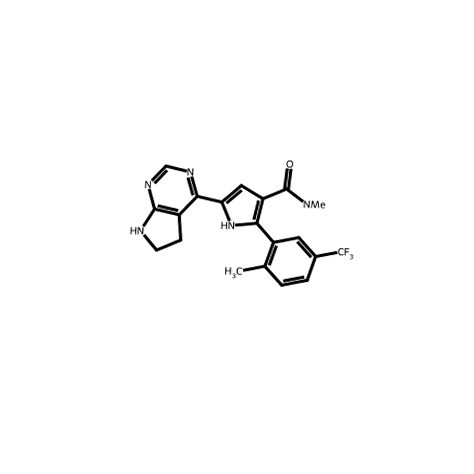 CNC(=O)c1cc(-c2ncnc3c2CCN3)[nH]c1-c1cc(C(F)(F)F)ccc1C